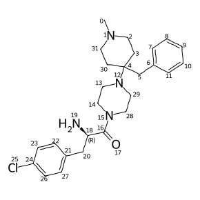 CN1CCC(Cc2ccccc2)(N2CCN(C(=O)[C@H](N)Cc3ccc(Cl)cc3)CC2)CC1